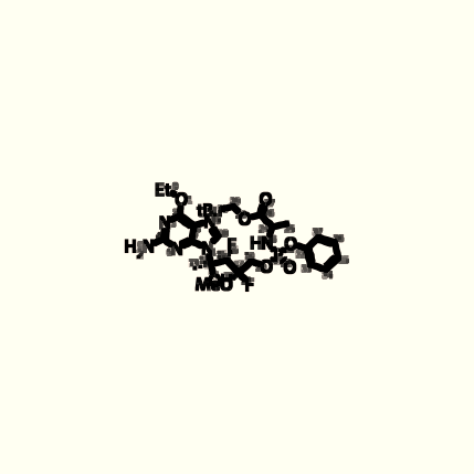 CCOc1nc(N)nc2c1ncn2[C@](C)(O)[C@H](F)[C@@](F)(COP(=O)(NC(C)C(=O)OCC(C)(C)C)Oc1ccccc1)OC